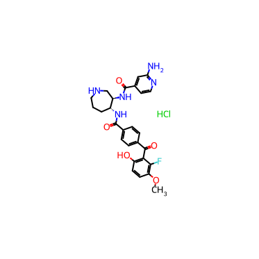 COc1ccc(O)c(C(=O)c2ccc(C(=O)N[C@@H]3CCCNC[C@H]3NC(=O)c3ccnc(N)c3)cc2)c1F.Cl